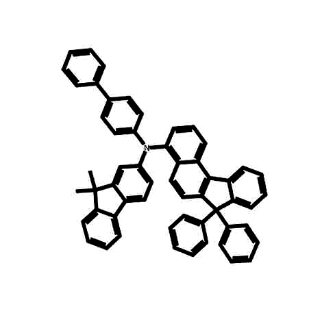 CC1(C)c2ccccc2-c2ccc(N(c3ccc(-c4ccccc4)cc3)c3cccc4c5c(ccc34)C(c3ccccc3)(c3ccccc3)c3ccccc3-5)cc21